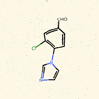 O=Cc1ccc(-n2ccnc2)c(Cl)c1